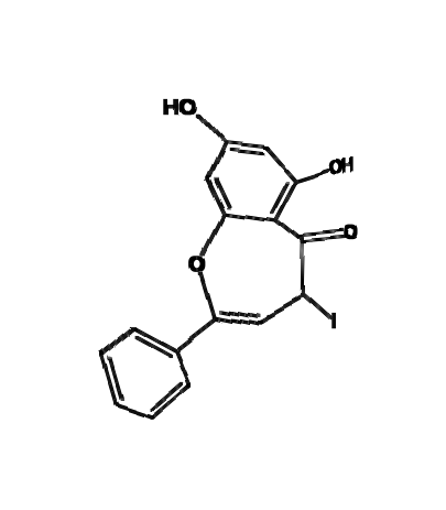 O=C1c2c(O)cc(O)cc2OC(c2ccccc2)=CC1I